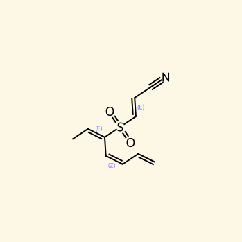 C=C/C=C\C(=C/C)S(=O)(=O)/C=C/C#N